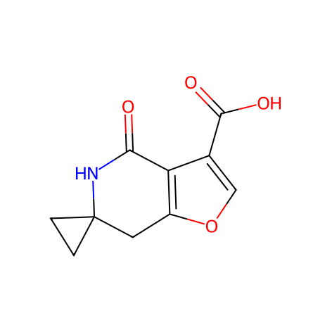 O=C(O)c1coc2c1C(=O)NC1(CC1)C2